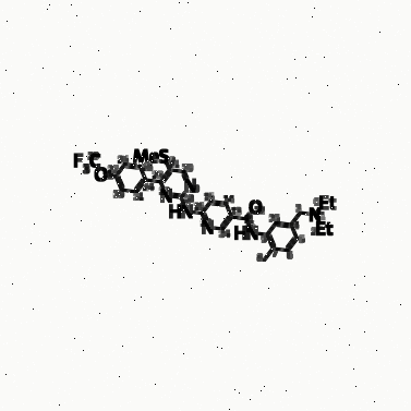 CCN(CC)Cc1ccc(C)c(NC(=O)c2ccc(Nc3ncc(SC)c(-c4ccc(OC(F)(F)F)cc4)n3)nc2)c1